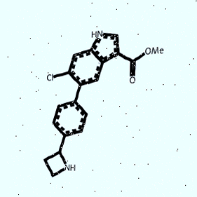 COC(=O)c1c[nH]c2cc(Cl)c(-c3ccc(C4CCN4)cc3)cc12